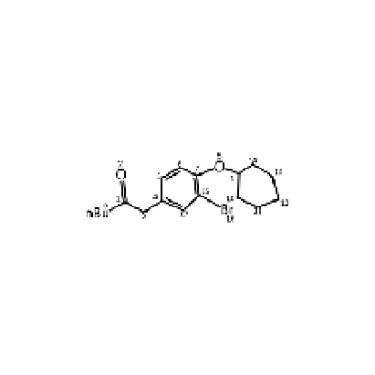 CCCCC(=O)Cc1ccc(OC2CCCCC2)c(Br)c1